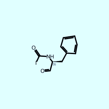 O=C[C@H](Cc1ccccc1)NC(=O)I